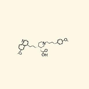 COc1ccc(CCCCN2CC[C@@H](CCCc3ccnc4ccc(OC)cc34)[C@@H](CC(=O)O)C2)cc1